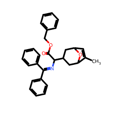 CC1=CC2CC(C(N=C(c3ccccc3)c3ccccc3)C(=O)OCc3ccccc3)CC1O2